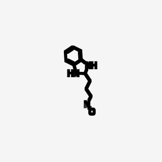 O=NCCCC1Nc2ccccc2N1